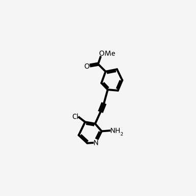 COC(=O)c1cccc(C#Cc2c(Cl)ccnc2N)c1